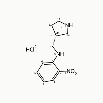 Cl.O=[N+]([O-])c1ccccc1NC[C@@H]1CCNC1